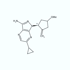 C=C1CC(OC)C[C@@H]1n1nc(N)c2ncc(C3CC3)nc21